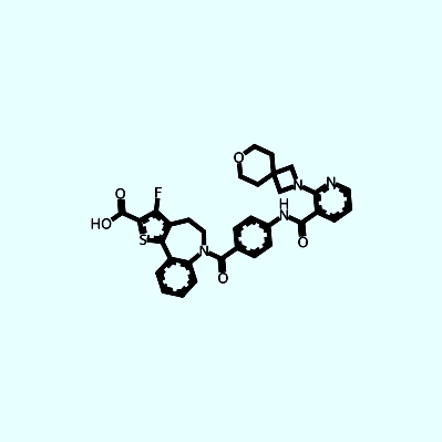 O=C(Nc1ccc(C(=O)N2CCc3c(sc(C(=O)O)c3F)-c3ccccc32)cc1)c1cccnc1N1CC2(CCOCC2)C1